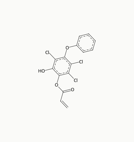 C=CC(=O)Oc1c(O)c(Cl)c(Oc2ccccc2)c(Cl)c1Cl